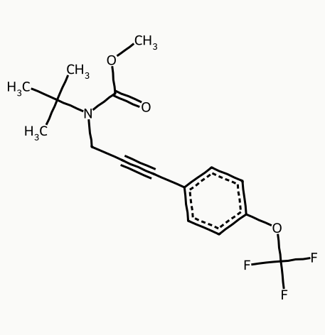 COC(=O)N(CC#Cc1ccc(OC(F)(F)F)cc1)C(C)(C)C